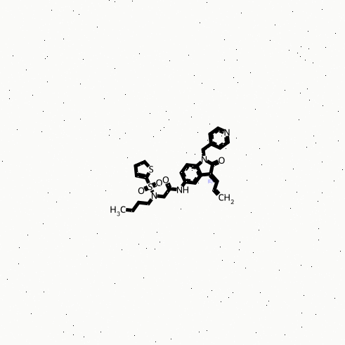 C=C/C=C1/C(=O)N(Cc2ccncc2)c2ccc(NC(=O)CN(CCCC)S(=O)(=O)C3=CCCS3)cc21